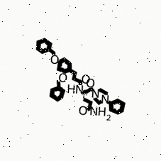 NC(=O)CC[C@H](NC(=O)CCc1ccc(OCc2ccccc2)cc1OCc1ccccc1)C(=O)N1CCN(c2ccccc2)CC1